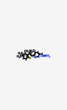 Cc1cc(CNN)cnc1-c1sc2c(c1C(=O)O)CC(C)(C)CC2